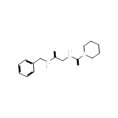 O=C(CNC(=O)N1CCCCC1)NCc1ccccc1